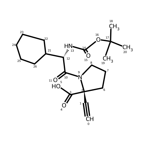 C#C[C@]1(C(=O)O)CCCN1C(=O)[C@@H](NC(=O)OC(C)(C)C)C1CCCCC1